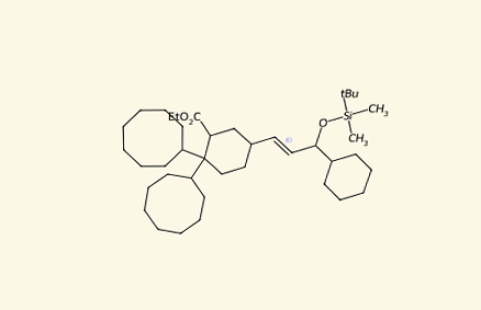 CCOC(=O)C1CC(/C=C/C(O[Si](C)(C)C(C)(C)C)C2CCCCC2)CCC1(C1CCCCCCC1)C1CCCCCCC1